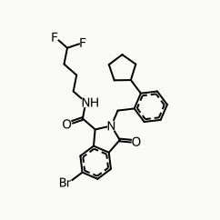 O=C(NCCCC(F)F)C1c2cc(Br)ccc2C(=O)N1Cc1ccccc1C1CCCC1